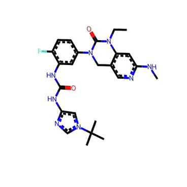 CCN1C(=O)N(c2ccc(F)c(NC(=O)Nc3cn(C(C)(C)C)cn3)c2)Cc2cnc(NC)cc21